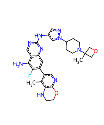 Cc1c(-c2cc3nc(Nc4cnn(C5CCN(C6(C)COC6)CC5)c4)ncc3c(N)c2F)cnc2c1NCCO2